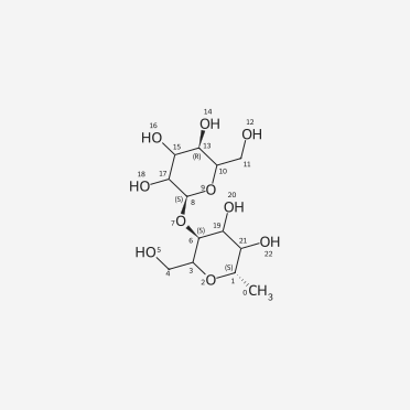 C[C@@H]1OC(CO)[C@@H](O[C@@H]2OC(CO)[C@H](O)C(O)C2O)C(O)C1O